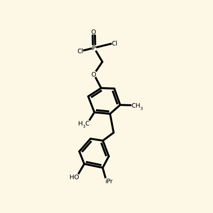 Cc1cc(OCP(=O)(Cl)Cl)cc(C)c1Cc1ccc(O)c(C(C)C)c1